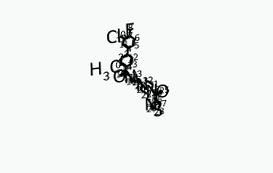 Cc1cc(-c2ccc(F)c(Cl)c2)ccc1C(=O)N1CC(N2CCN(C(=O)c3cscn3)CC2)C1